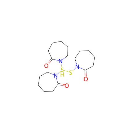 O=C1CCCCCN1S[SH](N1CCCCCC1=O)N1CCCCCC1=O